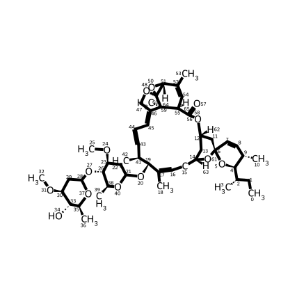 CC[C@H](C)[C@H]1O[C@]2(C=C[C@@H]1C)C[C@@H]1C[C@@H](C/C=C(\C)[C@@H](OC3C[C@H](OC)[C@@H](OC4C[C@H](OC)[C@@H](O)[C@H](C)O4)[C@H](C)O3)[C@@H](C)/C=C/C=C3\CO[C@@]45O[C@@H]4C(C)=C[C@@H](C(=O)O1)[C@@]35C)O2